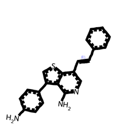 Nc1ccc(-c2csc3c(/C=C/c4ccccc4)cnc(N)c23)cc1